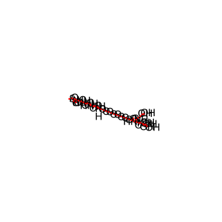 CC(C)SC1CC(=O)N(CC(=O)NCC(=O)NCC(=O)NCC(=O)NCC(=O)NCC(=O)NCCOCCOCCOCCOCCOCCOCCOCCOCCC(=O)N[C@@H](CCC(=O)NC[C@H](O)[C@@H](O)[C@H](O)CCO)C(=O)NCCCC[C@H](O)CO)C1=O